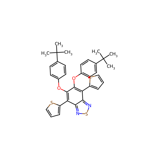 CC(C)(C)c1ccc(Oc2c(Oc3ccc(C(C)(C)C)cc3)c(-c3cccs3)c3nsnc3c2-c2cccs2)cc1